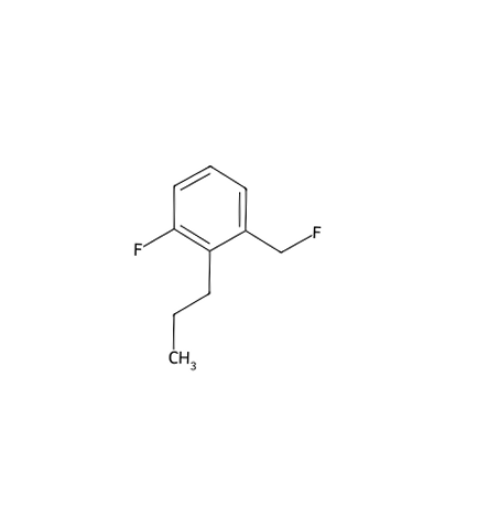 CCCc1c(F)cccc1CF